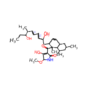 CCC(O)C(C)/C=C/C=C/C(O)CC1C=CC2CC(C)CC(C)C2C1(C)C(=O)C1=C(O)C(OC)NC1=O